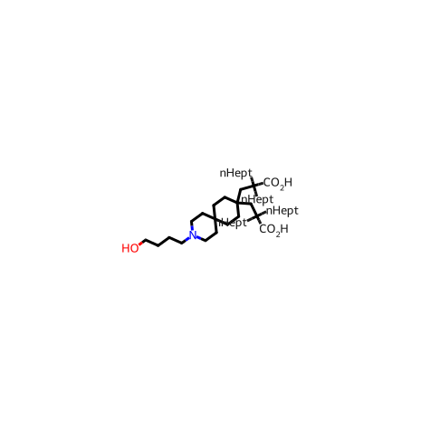 CCCCCCCC(CCCCCCC)(CC1(CC(CCCCCCC)(CCCCCCC)C(=O)O)CCC2(CCN(CCCCO)CC2)CC1)C(=O)O